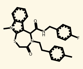 Cc1ccc(CCN2C(=O)CSc3c(c4ccccc4n3C)C2C(=O)NCc2ccc(F)cc2)cc1